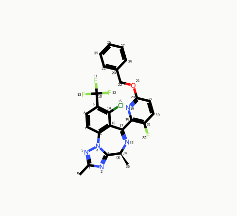 Cc1nc2n(n1)-c1ccc(C(F)(F)F)c(Cl)c1C(c1nc(OCc3ccccc3)ccc1F)=N[C@H]2C